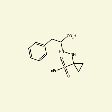 CCCS(=O)(=O)C1(NNC(Cc2ccccc2)C(=O)O)CC1